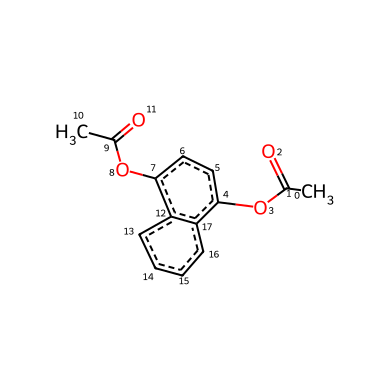 CC(=O)Oc1ccc(OC(C)=O)c2ccccc12